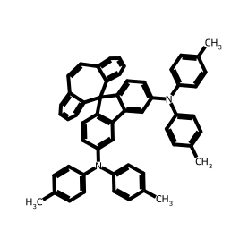 Cc1ccc(N(c2ccc(C)cc2)c2ccc3c(c2)-c2cc(N(c4ccc(C)cc4)c4ccc(C)cc4)ccc2C32c3ccccc3C=Cc3ccccc32)cc1